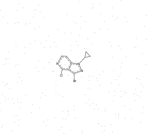 Clc1nccc2c1c(Br)nn2C1CC1